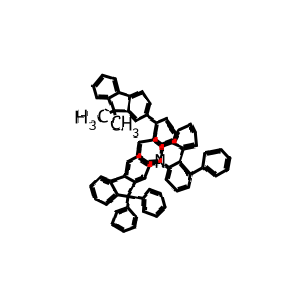 CC1(C)c2ccccc2-c2ccc(-c3cccc(N(c4ccc5c(c4)C(c4ccccc4)(c4ccccc4)c4ccccc4-5)c4cccc(-c5ccccc5)c4-c4ccccc4-c4ccccc4)c3)cc21